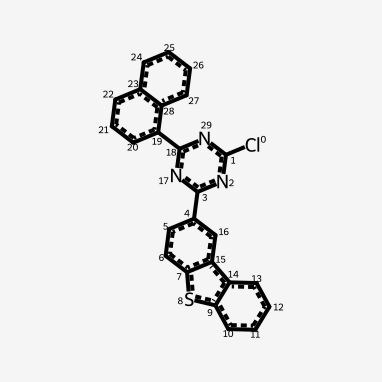 Clc1nc(-c2ccc3sc4ccccc4c3c2)nc(-c2cccc3ccccc23)n1